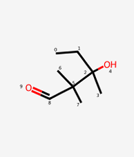 CCC(C)(O)C(C)(C)C=O